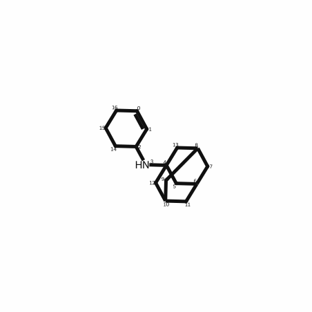 C1=CC(NC23CC4CC(CC(C4)C2)C3)CCC1